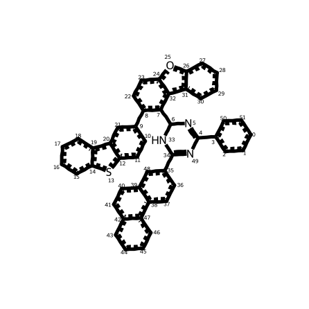 c1ccc(C2=NC(c3c(-c4ccc5sc6ccccc6c5c4)ccc4oc5ccccc5c34)NC(c3ccc4c(ccc5ccccc54)c3)=N2)cc1